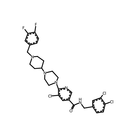 O=C(NCc1ccc(Cl)c(Cl)c1)c1cnc(N2CCN(C3CCN(Cc4ccc(F)c(F)c4)CC3)CC2)c(Cl)c1